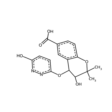 CC1(C)Oc2ccc(C(=O)O)cc2C(Oc2ccc(O)nn2)C1O